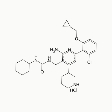 Cl.Nc1nc(-c2c(O)cccc2OCC2CC2)cc(C2CCCNC2)c1CNC(=O)NC1CCCCC1